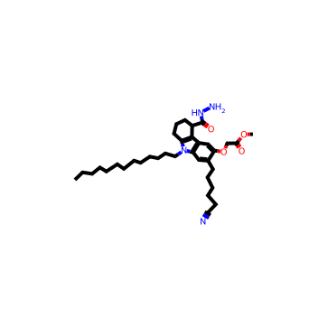 CCCCCCCCCCCCCn1c2c(c3cc(OCC(=O)OC)c(CCCCCC#N)cc31)C(C(=O)NN)CCC2